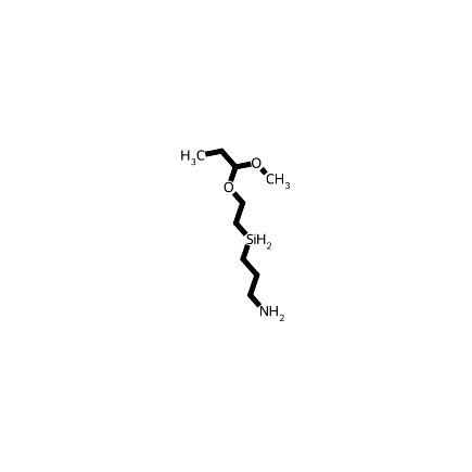 CCC(OC)OCC[SiH2]CCCN